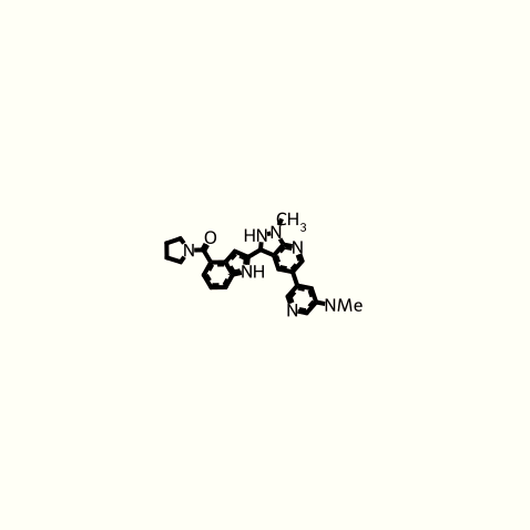 CNc1cncc(-c2cnc3c(c2)C(c2cc4c(C(=O)N5CCCC5)cccc4[nH]2)NN3C)c1